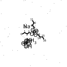 CCCCOP(=O)(OCCCC)OCCCC.N.O=P([O-])(O)O.[Na+]